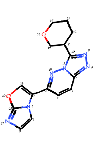 c1cn2c(-c3ccc4nnc(C5CCCOC5)n4n3)coc2n1